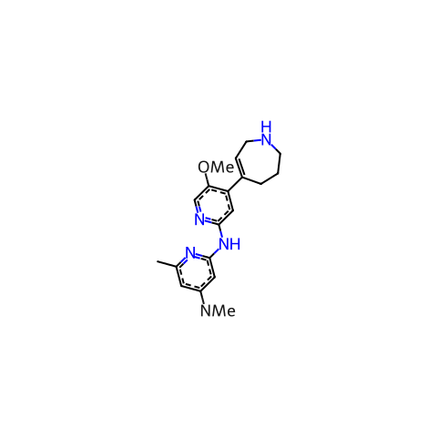 CNc1cc(C)nc(Nc2cc(C3=CCNCCC3)c(OC)cn2)c1